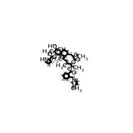 CO[C@H]1CC2C=C[C@@H]3C[C@]2(O[C@H]3[C@H](OC(=O)c2ccc[nH]2)[C@H](C)[C@H](C)O)/C(C)=C/[C@@H](C)[C@@H]([C@@H](C)OC(=O)c2ccccc2C[n+]2ccn(C)c2)OC1=O